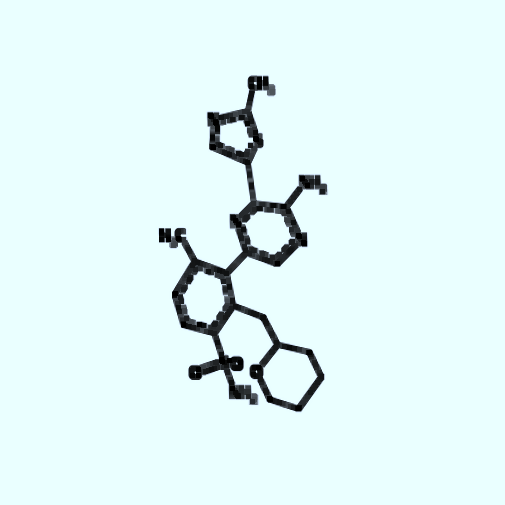 Cc1ncc(-c2nc(-c3c(C)ccc(S(N)(=O)=O)c3CC3CCCCO3)cnc2N)s1